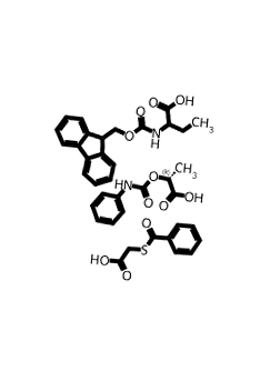 CCC(NC(=O)OCC1c2ccccc2-c2ccccc21)C(=O)O.C[C@@H](OC(=O)Nc1ccccc1)C(=O)O.O=C(O)CSC(=O)c1ccccc1